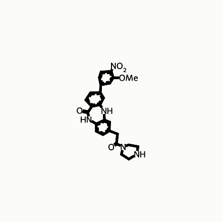 COc1cc(-c2ccc3c(c2)Nc2cc(CC(=O)N4CCNCC4)ccc2NC3=O)ccc1[N+](=O)[O-]